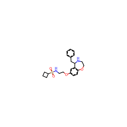 O=S(=O)(NCCOc1ccc2c(c1)C(Cc1ccccc1)NCCO2)C1CCC1